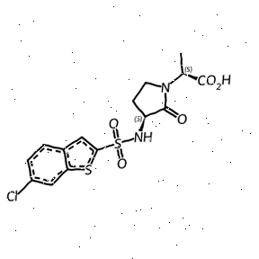 C[C@@H](C(=O)O)N1CC[C@H](NS(=O)(=O)c2cc3ccc(Cl)cc3s2)C1=O